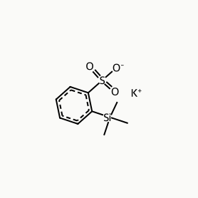 C[Si](C)(C)c1ccccc1S(=O)(=O)[O-].[K+]